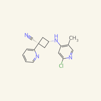 Cc1cnc(Cl)cc1N[C@H]1C[C@](C#N)(c2ccccn2)C1